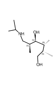 CC(C)NC[C@H](C)[C@@H](O)[C@H](C)[C@H](C)CO